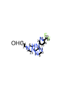 O=CC=CN1CCN(c2nccnc2Nc2ccc(C(F)F)nc2)CC1